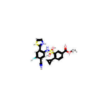 COC(=O)c1ccc(C2CC2)c(S(=O)(=O)Nc2cc(C#N)c(F)cc2-c2nccs2)c1